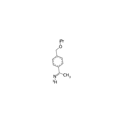 [3H]/N=C(\C)c1ccc(COC(C)C)cc1